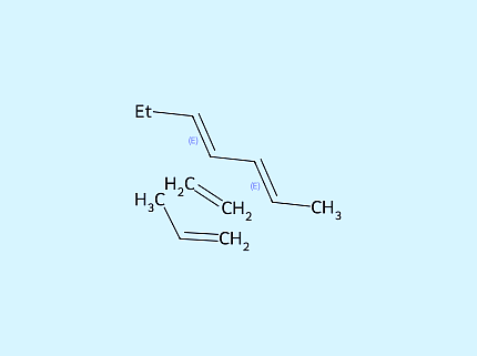 C/C=C/C=C/CC.C=C.C=CC